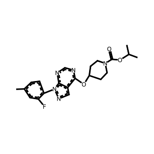 Cc1ccc(-n2ncc3c(OC4CCN(C(=O)OC(C)C)CC4)ncnc32)c(F)c1